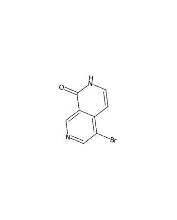 O=c1[nH]ccc2c(Br)cncc12